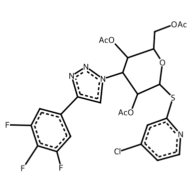 CC(=O)OCC1OC(Sc2cc(Cl)ccn2)C(OC(C)=O)C(n2cc(-c3cc(F)c(F)c(F)c3)nn2)C1OC(C)=O